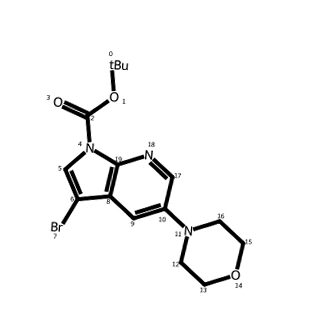 CC(C)(C)OC(=O)n1cc(Br)c2cc(N3CCOCC3)cnc21